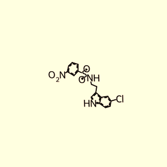 O=[N+]([O-])c1cccc(S(=O)(=O)NCCc2c[nH]c3ccc(Cl)cc23)c1